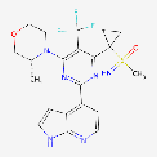 C[C@@H]1COCCN1c1nc(-c2ccnc3[nH]ccc23)nc(C2(S(C)(=N)=O)CC2)c1C(F)(F)F